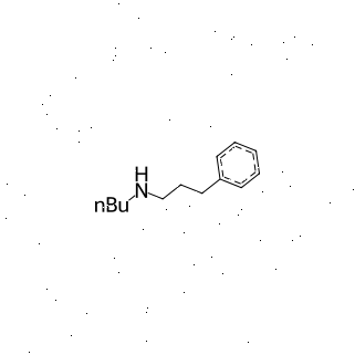 CCCCNCCCc1ccccc1